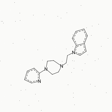 c1ccc(N2CCN(CCn3ccc4ccccc43)CC2)nc1